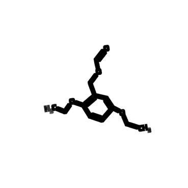 CCOc1ccc(OCC)c(COC=O)c1